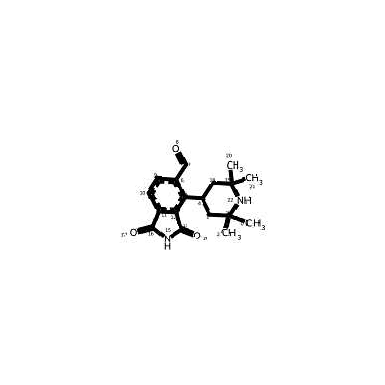 CC1(C)CC(c2c([C]=O)ccc3c2C(=O)NC3=O)CC(C)(C)N1